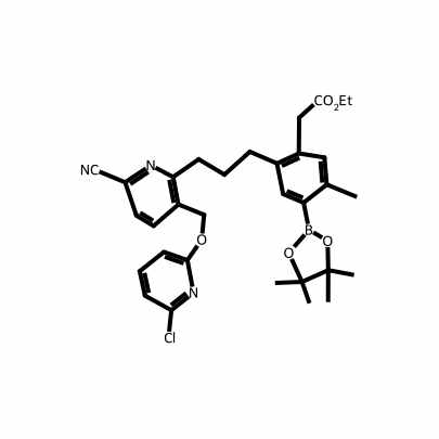 CCOC(=O)Cc1cc(C)c(B2OC(C)(C)C(C)(C)O2)cc1CCCc1nc(C#N)ccc1COc1cccc(Cl)n1